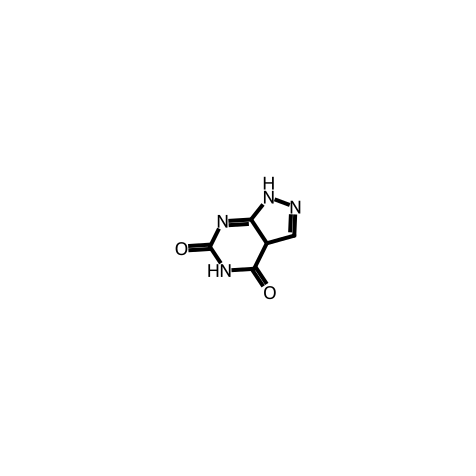 O=C1N=C2NN=CC2C(=O)N1